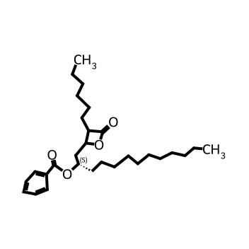 CCCCCCCCCCC[C@@H](CC1OC(=O)C1CCCCCC)OC(=O)c1ccccc1